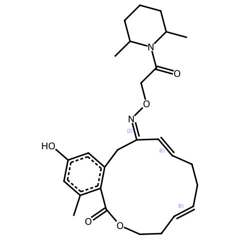 Cc1cc(O)cc2c1C(=O)OCC/C=C/CC/C=C/C(=N\OCC(=O)N1C(C)CCCC1C)C2